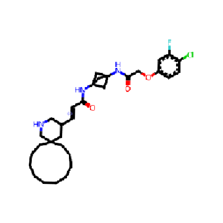 O=C(/C=C/C1CNCC2(CCCCCCCCCC2)C1)NC12CC(NC(=O)COc3ccc(Cl)c(F)c3)(C1)C2